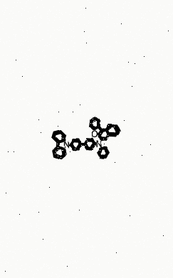 c1ccc(N(c2ccc(-c3ccc(-n4c5ccccc5c5ccccc54)cc3)cc2)c2cc3ccccc3c3c2oc2ccccc23)cc1